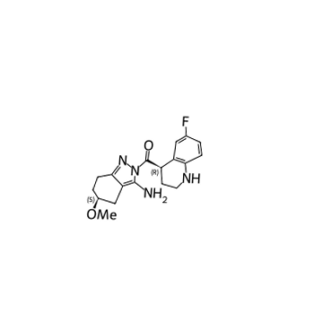 CO[C@H]1CCc2nn(C(=O)[C@@H]3CCNc4ccc(F)cc43)c(N)c2C1